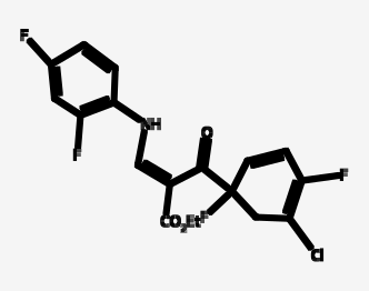 CCOC(=O)C(=CNc1ccc(F)cc1F)C(=O)C1(F)C=CC(F)=C(Cl)C1